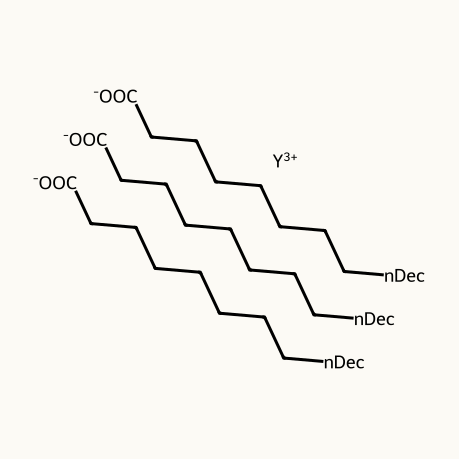 CCCCCCCCCCCCCCCCCC(=O)[O-].CCCCCCCCCCCCCCCCCC(=O)[O-].CCCCCCCCCCCCCCCCCC(=O)[O-].[Y+3]